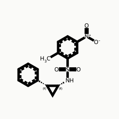 Cc1ccc([N+](=O)[O-])cc1S(=O)(=O)N[C@@H]1C[C@@H]1c1ccccc1